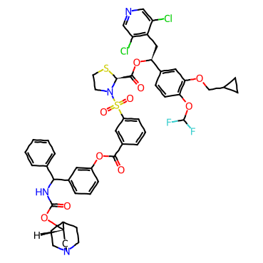 O=C(NC(c1ccccc1)c1cccc(OC(=O)c2cccc(S(=O)(=O)N3CCS[C@H]3C(=O)O[C@@H](Cc3c(Cl)cncc3Cl)c3ccc(OC(F)F)c(OCC4CC4)c3)c2)c1)O[C@H]1CN2CCC1CC2